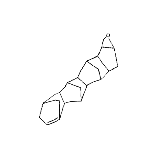 C1=C2CC(C1)C1C3CC(C21)C1C2CC(C4C2CC2OC24)C31